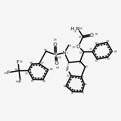 CN(CC(Cc1ccccc1F)C(OC(N)=O)c1ccccc1)S(=O)(=O)Cc1cccc(C(F)(F)F)c1